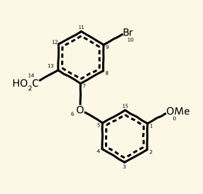 COc1cccc(Oc2cc(Br)ccc2C(=O)O)c1